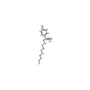 CCCCCCCCCCC(NC)c1ccc(F)cc1